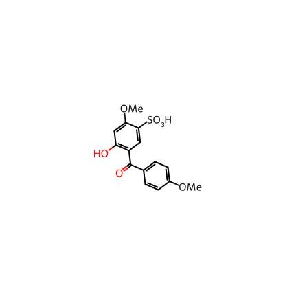 COc1ccc(C(=O)c2cc(S(=O)(=O)O)c(OC)cc2O)cc1